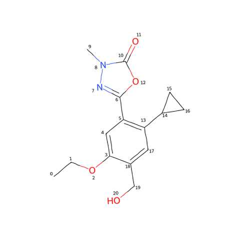 CCOc1cc(-c2nn(C)c(=O)o2)c(C2CC2)cc1CO